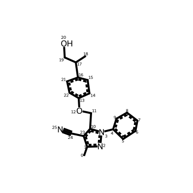 Cc1nn(-c2ccccc2)c(COc2ccc(C(C)CO)cc2)c1C#N